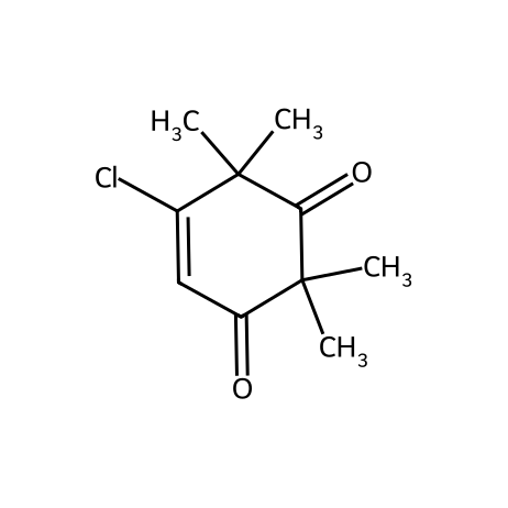 CC1(C)C(=O)C=C(Cl)C(C)(C)C1=O